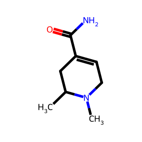 CC1CC(C(N)=O)=CCN1C